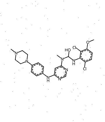 COc1ccc(Cl)c(NC(O)N(C)c2cc(Nc3ccc(N4CCN(C)CC4)cc3)ncn2)c1Cl